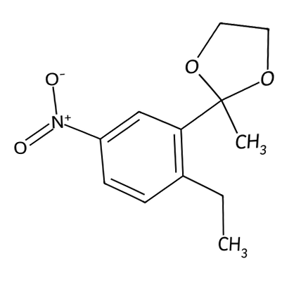 CCc1ccc([N+](=O)[O-])cc1C1(C)OCCO1